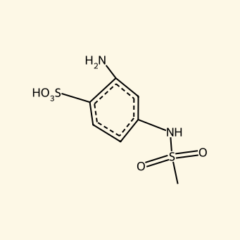 CS(=O)(=O)Nc1ccc(S(=O)(=O)O)c(N)c1